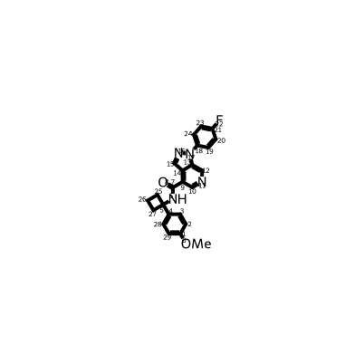 COc1ccc(C2(NC(=O)c3cncc4c3cnn4-c3ccc(F)cc3)CCC2)cc1